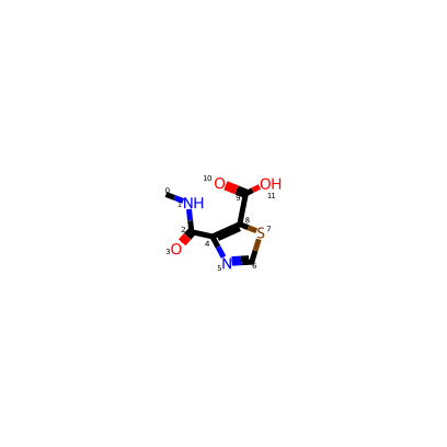 CNC(=O)c1ncsc1C(=O)O